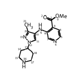 COC(=O)c1ccncc1Nc1cn(C2CCNCC2)nc1C